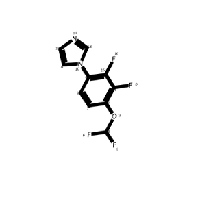 Fc1c(OC(F)F)ccc(-n2ccnc2)c1F